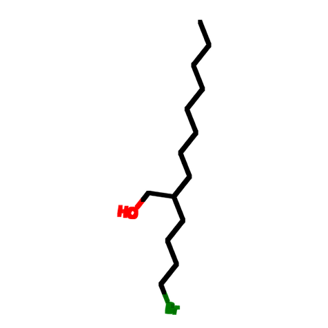 CCCCCCCCC(CO)CCCCBr